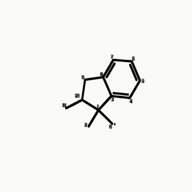 [CH2]C1(C)c2ccccc2CC1C